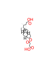 C[C@H](CCC(=O)O)[C@H]1CC[C@H]2[C@@H]3CC[C@@H]4C[C@@H](OC(=O)CCC(=O)O)CC[C@]4(C)[C@H]3CC[C@]12C